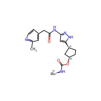 CC[C@H](C)NC(=O)O[C@@H]1CC[C@H](c2cc(NC(=O)Cc3ccnc(C)c3)n[nH]2)C1